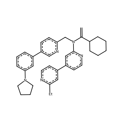 C=C(C1CCCCC1)N(Cc1ccc(-c2cccc(N3CCCC3)c2)cn1)c1cc(-c2ccnc(CC)c2)ccn1